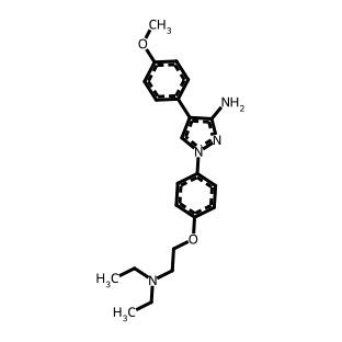 CCN(CC)CCOc1ccc(-n2cc(-c3ccc(OC)cc3)c(N)n2)cc1